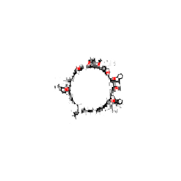 CCCCC[C@H]1C(=O)N[C@@H](C)C(=O)N[C@H](C(=O)NCC(N)=O)CCNCC(=O)N[C@@H](Cc2ccc(O)cc2)C(=O)N(C)[C@@H](C)C(=O)N[C@@H](CC(=O)O)C(=O)N2CCC[C@H]2C(=O)N[C@@H](Cc2cnc[nH]2)C(=O)N[C@@H](CCC(N)=O)C(=O)N2C[C@H](O)C[C@H]2C(=O)N[C@@H](Cc2c[nH]c3ccccc23)C(=O)N[C@@H](CO)C(=O)N[C@@H](Cc2c[nH]c3ccccc23)C(=O)N(C)[C@@H](CCCC)C(=O)N1C